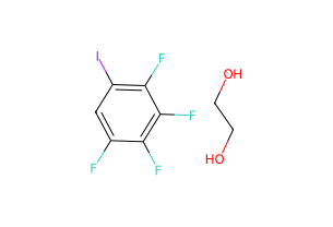 Fc1cc(I)c(F)c(F)c1F.OCCO